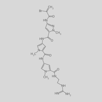 C=C(Br)C(=O)Nc1cc(C(=O)Nc2cc(C(=O)Nc3cc(C(=O)NCCNC(=N)N)n(C)c3)n(C)c2)n(C)n1